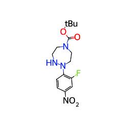 CC(C)(C)OC(=O)N1CCNN(c2ccc([N+](=O)[O-])cc2F)CC1